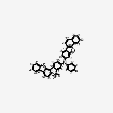 C[Si]1(C)c2cc(N(c3ccccc3)c3ccc4c(c3)oc3c5ccccc5ccc43)ccc2-c2c1ccc1c2sc2ccccc21